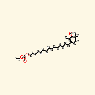 CCOC(=O)OCCCCCCCCCCCCCCCC1=C(C)C(=O)C(C)(C)CC1